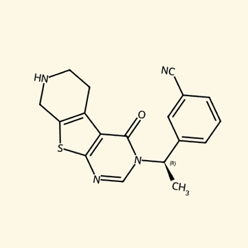 C[C@H](c1cccc(C#N)c1)n1cnc2sc3c(c2c1=O)CCNC3